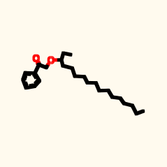 CCCCCCCCCCCCCCC(CC)OCC(=O)c1ccccc1